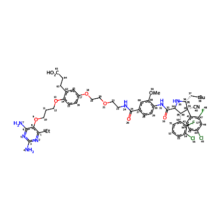 CCc1nc(N)nc(N)c1OCCCOc1ccc(OCCOCCNC(=O)c2ccc(NC(=O)C3N[C@H](CC(C)(C)C)[C@@](C#N)(c4ccc(Cl)cc4F)[C@@H]3c3cccc(Cl)c3F)c(OC)c2)cc1CCC(=O)O